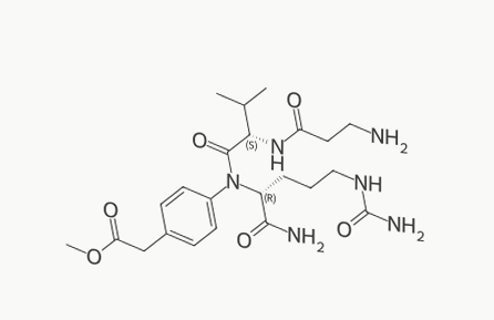 COC(=O)Cc1ccc(N(C(=O)[C@@H](NC(=O)CCN)C(C)C)[C@H](CCCNC(N)=O)C(N)=O)cc1